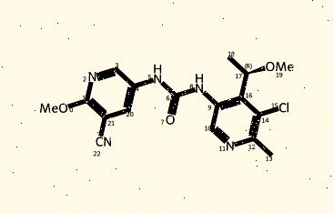 COc1ncc(NC(=O)Nc2cnc(C)c(Cl)c2[C@@H](C)OC)cc1C#N